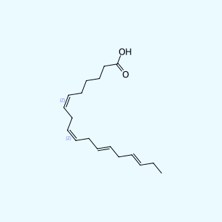 CCC=CCC=CC/C=C\C/C=C\CCCCC(=O)O